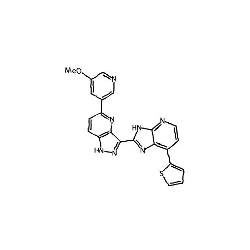 COc1cncc(-c2ccc3[nH]nc(-c4nc5c(-c6cccs6)ccnc5[nH]4)c3n2)c1